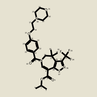 CC(C)OC(=O)C1=CN(C(=O)c2ccc(OCCN3CCOCC3)cc2)CC(C)(C)c2c(C(F)(F)F)nsc21